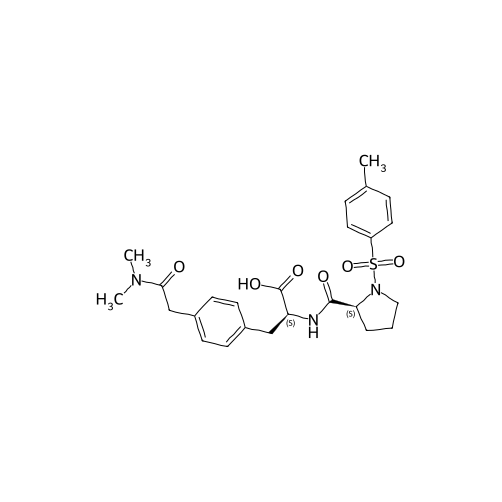 Cc1ccc(S(=O)(=O)N2CCC[C@H]2C(=O)N[C@@H](Cc2ccc(CC(=O)N(C)C)cc2)C(=O)O)cc1